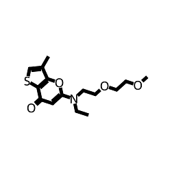 CCN(CCOCCOC)c1cc(=O)c2scc(C)c2o1